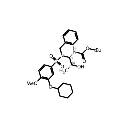 COc1ccc(S(=O)(=O)N(Cc2ccccc2)[C@H](NC(=O)OC(C)(C)C)[C@@H](C)O)cc1OC1CCCCC1